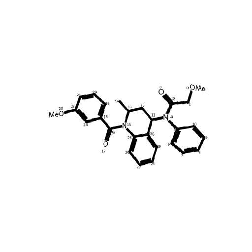 COCC(=O)N(c1ccccc1)C1CC(C)N(C(=O)c2cccc(OC)c2)c2ccccc21